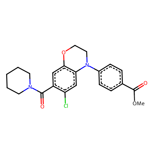 COC(=O)c1ccc(N2CCOc3cc(C(=O)N4CCCCC4)c(Cl)cc32)cc1